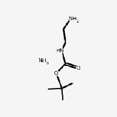 CC(C)(C)OC(=O)NCCN.N